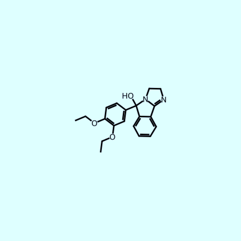 CCOc1ccc(C2(O)c3ccccc3C3=NCCN32)cc1OCC